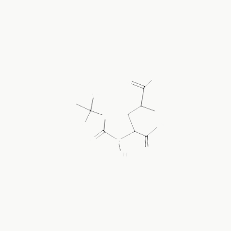 CN(C(=O)OC(C)(C)C)C(CC(O)C(=O)O)C(=O)O